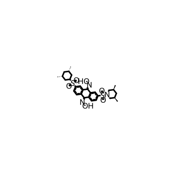 C[C@@H]1CC(S(=O)(=O)c2ccc3c(c2)/C(=N\O)c2cc(S(=O)(=O)N4C[C@H](C)C[C@H](C)C4)ccc2/C3=N\O)C[C@H](C)C1